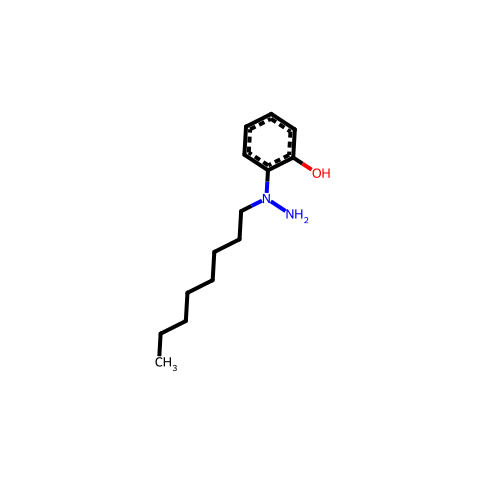 CCCCCCCCN(N)c1ccccc1O